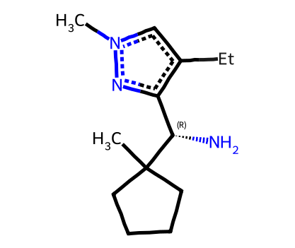 CCc1cn(C)nc1[C@H](N)C1(C)CCCC1